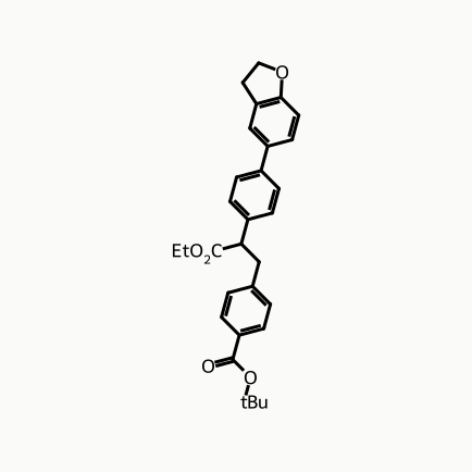 CCOC(=O)C(Cc1ccc(C(=O)OC(C)(C)C)cc1)c1ccc(-c2ccc3c(c2)CCO3)cc1